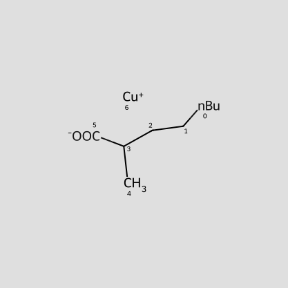 CCCCCCC(C)C(=O)[O-].[Cu+]